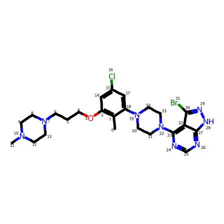 Cc1c(OCCCN2CCN(C)CC2)cc(Cl)cc1N1CCN(c2ncnc3[nH]nc(Br)c23)CC1